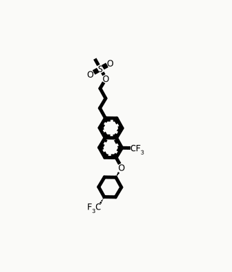 CS(=O)(=O)OCCCc1ccc2c(C(F)(F)F)c(O[C@H]3CC[C@@H](C(F)(F)F)CC3)ccc2c1